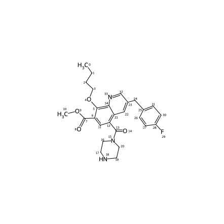 CCCCOc1c(C(=O)OC)cc(C(=O)N2CCNCC2)c2cc(Cc3ccc(F)cc3)cnc12